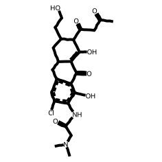 CC(=O)CC(=O)C1C(O)=C2C(=O)c3c(cc(Cl)c(NC(=O)CN(C)C)c3O)CC2CC1CCO